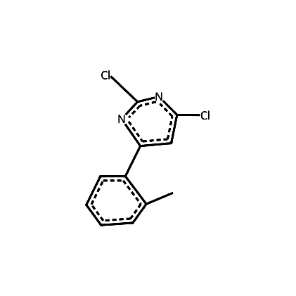 Cc1ccccc1-c1cc(Cl)nc(Cl)n1